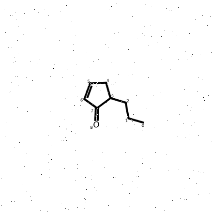 CCCC1CC=CC1=O